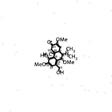 COC1=CC2[C@@H](N(C)C)[C@H](OC)c3c(CO)cc(OC)c(O)c3[C@]2(C)CC1=O